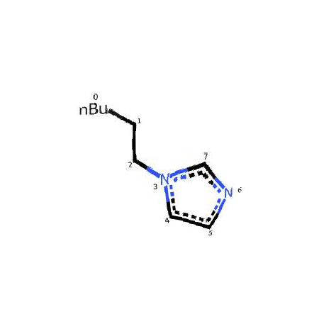 [CH2]CCCCCn1ccnc1